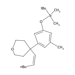 CCCC/C=C\C1(c2cc(C)cc(O[Si](C)(C)C(C)(C)C)c2)CCOCC1